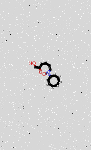 OCC1CCCCN(C2CCCCCCC2)OO1